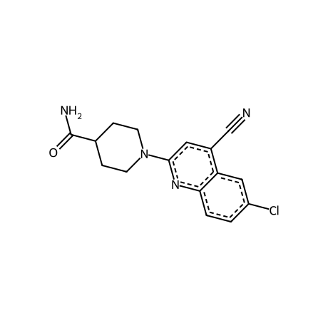 N#Cc1cc(N2CCC(C(N)=O)CC2)nc2ccc(Cl)cc12